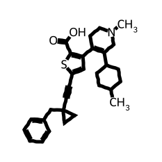 CC1CCC(C2=C(c3cc(C#CC4(Cc5ccccc5)CC4)sc3C(=O)O)CCN(C)C2)CC1